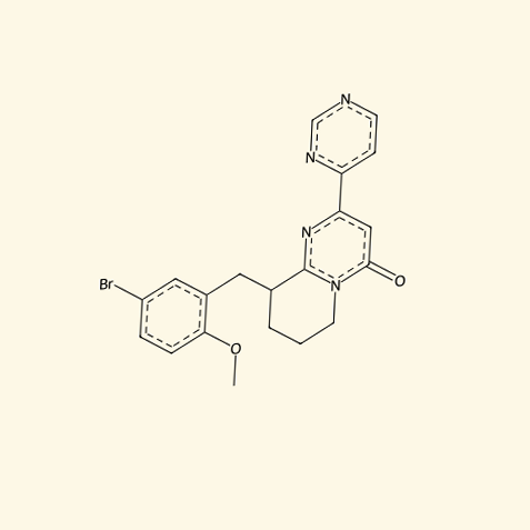 COc1ccc(Br)cc1CC1CCCn2c1nc(-c1ccncn1)cc2=O